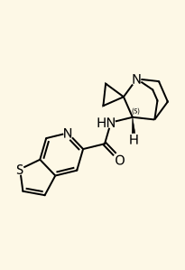 O=C(N[C@H]1C2CCN(CC2)C12CC2)c1cc2ccsc2cn1